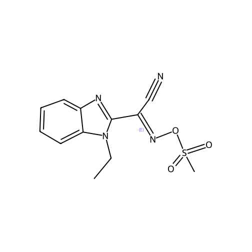 CCn1c(/C(C#N)=N/OS(C)(=O)=O)nc2ccccc21